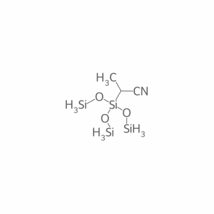 CC(C#N)[Si](O[SiH3])(O[SiH3])O[SiH3]